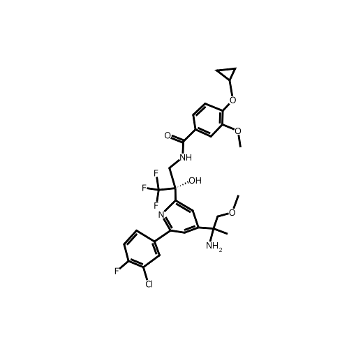 COCC(C)(N)c1cc(-c2ccc(F)c(Cl)c2)nc([C@](O)(CNC(=O)c2ccc(OC3CC3)c(OC)c2)C(F)(F)F)c1